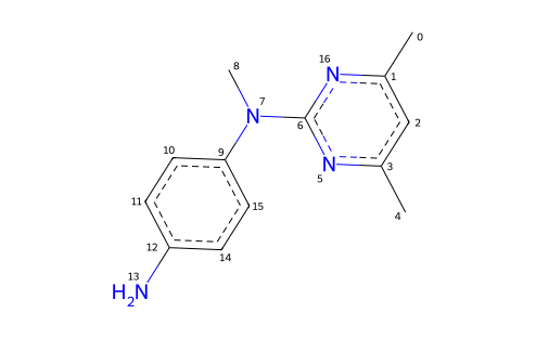 Cc1cc(C)nc(N(C)c2ccc(N)cc2)n1